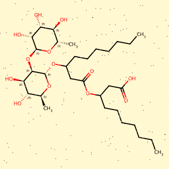 CCCCCCCC(CC(=O)O)OC(=O)CC(CCCCCCC)O[C@@H]1O[C@@H](C)[C@H](O)[C@@H](O)[C@H]1O[C@@H]1O[C@@H](C)[C@H](O)[C@@H](O)[C@H]1O